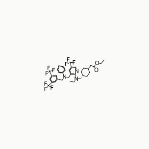 CCOC(=O)C[C@H]1CC[C@H](CN(CC)c2ncc(C(F)(F)F)cc2CN(Cc2cc(C(F)(F)F)cc(C(F)(F)F)c2)c2ccccc2)CC1